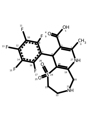 CC1=C(C(=O)O)C(c2c(F)c(F)c(F)c(F)c2F)C2=C(CNCCS2(=O)=O)N1